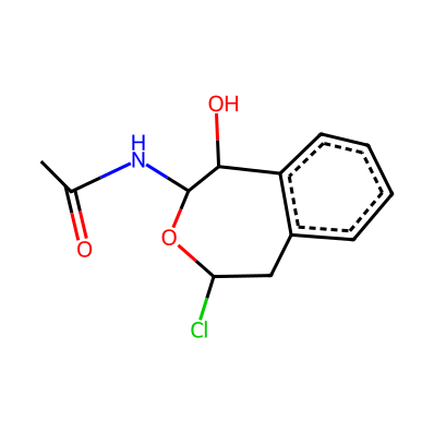 CC(=O)NC1OC(Cl)Cc2ccccc2C1O